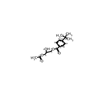 CC(=O)OCC(O)COC(=O)c1ccc(C(C)(C)C)cc1